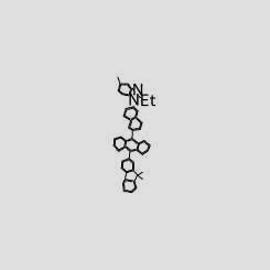 CCc1nc2cc(C)ccc2n1-c1ccc2cc(-c3c4ccccc4c(-c4ccc5c(c4)C(C)(C)c4ccccc4-5)c4ccccc34)ccc2c1